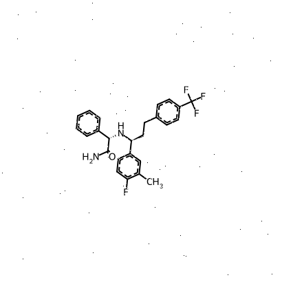 Cc1cc([C@H](CCc2ccc(C(F)(F)F)cc2)N[C@H](C(N)=O)c2ccccc2)ccc1F